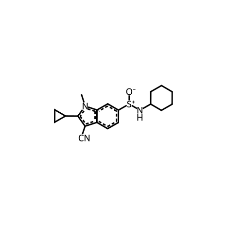 Cn1c(C2CC2)c(C#N)c2ccc([S+]([O-])NC3CCCCC3)cc21